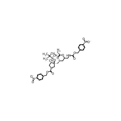 CC(=O)OC(CNC(=O)OCc1ccc([N+](=O)[O-])cc1)CSC[C@@]1(O[Si](C)(C)C(C)(C)C)CCN(C(=O)OCc2ccc([N+](=O)[O-])cc2)C1